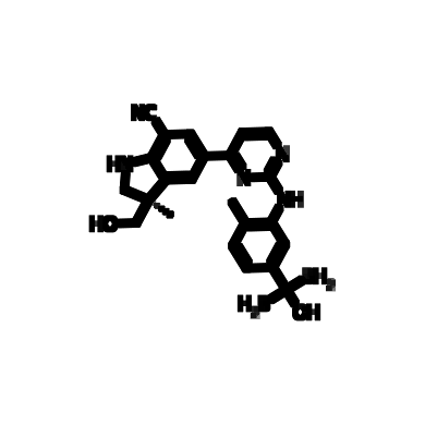 BC(B)(O)c1ccc(C)c(Nc2nccc(-c3cc(C#N)c4c(c3)[C@@](C)(CO)CN4)n2)c1